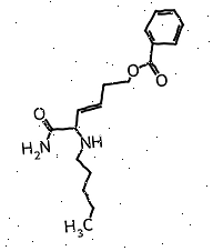 CCCCCNC(/C=C/CCOC(=O)c1ccccc1)C(N)=O